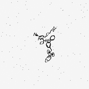 C[Si](C)(C)CCOCn1cc(C#N)nc1C(=O)Nc1ccc(CS(=O)(=O)N2CCOCC2)cc1C1=CCCCC1